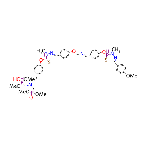 COc1ccc(/C=N/N(C)[PH](=S)Oc2ccc(C=NCOc3ccc(/C=N/N(C)[PH](=S)Oc4ccc(CCN(CP(=O)(OC)OC)C[PH](O)(OC)OC)cc4)cc3)cc2)cc1